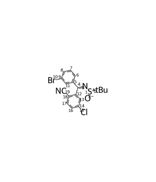 CC(C)(C)[S+]([O-])N=C(c1cccc(Br)c1)c1cc(Cl)ccc1C#N